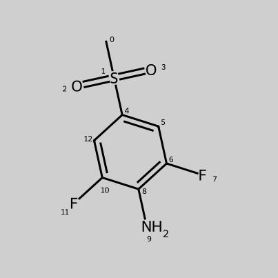 CS(=O)(=O)c1cc(F)c(N)c(F)c1